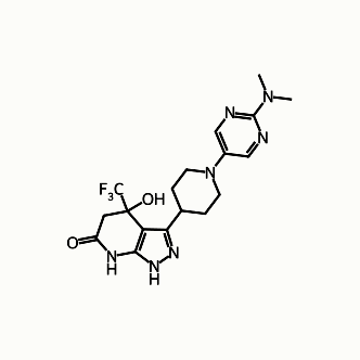 CN(C)c1ncc(N2CCC(c3n[nH]c4c3C(O)(C(F)(F)F)CC(=O)N4)CC2)cn1